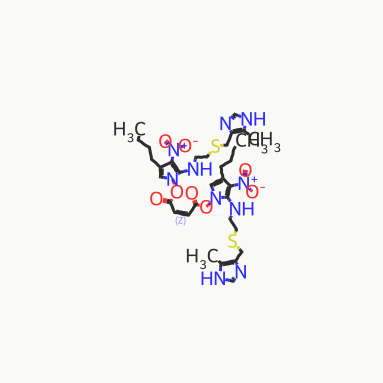 CCCCc1cn(OC(=O)/C=C\C(=O)On2cc(CCCC)c([N+](=O)[O-])c2NCCSCc2nc[nH]c2C)c(NCCSCc2nc[nH]c2C)c1[N+](=O)[O-]